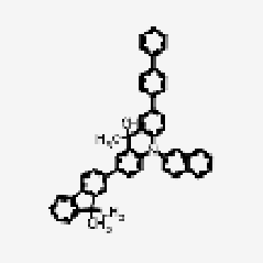 CC1(C)c2ccccc2-c2ccc(-c3ccc4c(c3)C(C)(C)c3cc(-c5ccc(-c6ccccc6)cc5)ccc3N4c3ccc4ccccc4c3)cc21